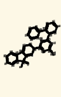 CC1(C)C2=CC(c3nc(Cl)nc(-c4ccccc4-c4ccccc4)n3)CC=C2c2ccccc21